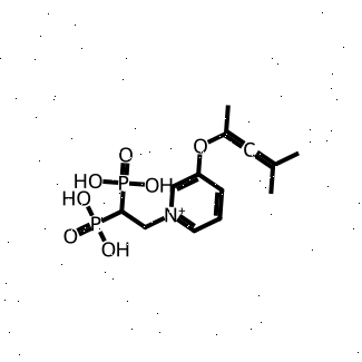 CC(C)=C=C(C)Oc1ccc[n+](CC(P(=O)(O)O)P(=O)(O)O)c1